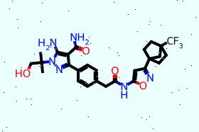 CC(C)(CO)n1nc(-c2ccc(CC(=O)Nc3cc(C45CCC(C(F)(F)F)(CC4)C5)no3)cc2)c(C(N)=O)c1N